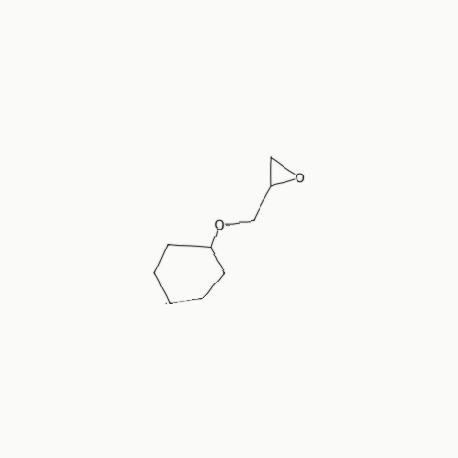 [CH]1CCC(OCC2CO2)CC1